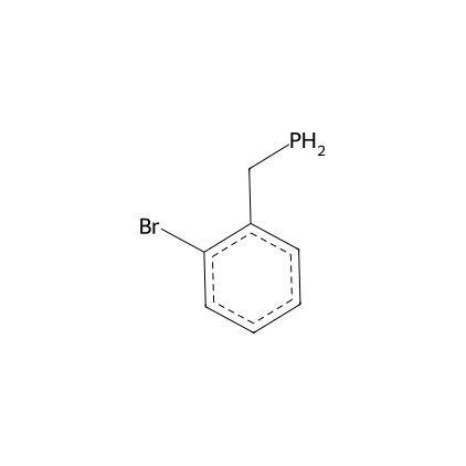 PCc1ccccc1Br